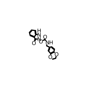 O=C(NCc1ccc2c(c1)OCCO2)On1[nH]c2ccccc2c1=O